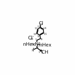 C#CC(I)[N+](CCCCCC)(CCCCCC)CCc1ccc(Cl)cc1.[Cl-]